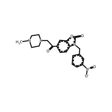 CN1CCN(CC(=O)c2ccc3c(c2)oc(=O)n3Cc2cccc([N+](=O)[O-])c2)CC1